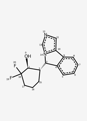 O[C@H]1[C@H](C2c3ccccc3-c3cncn32)CCCC1(F)F